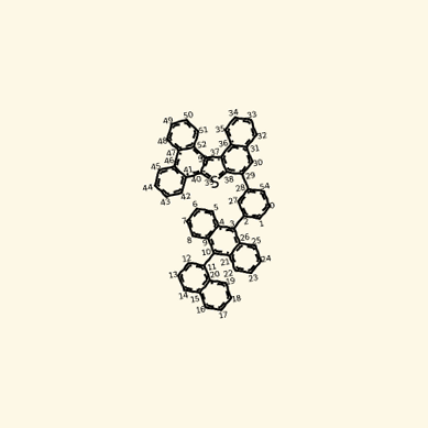 c1cc(-c2c3ccccc3c(-c3cccc4ccccc34)c3ccccc23)cc(-c2cc3ccccc3c3c2sc2c4ccccc4c4ccccc4c23)c1